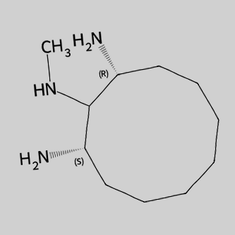 CNC1[C@H](N)CCCCCCC[C@@H]1N